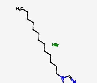 Br.CCCCCCCCCCCCCn1ccnc1